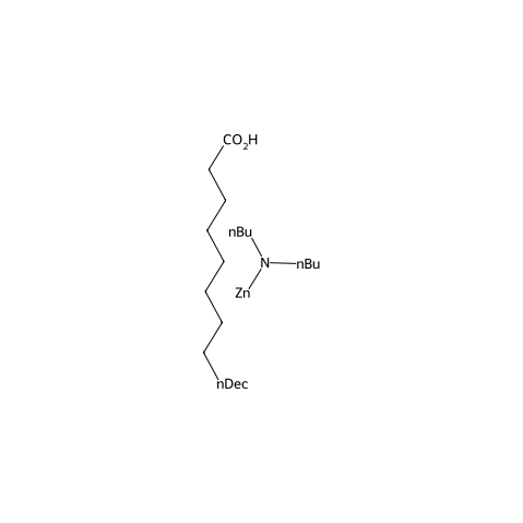 CCCCCCCCCCCCCCCCCC(=O)O.CCCC[N]([Zn])CCCC